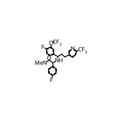 CNC(=O)C(NC(CCc1ccc(C(F)(F)F)nc1)c1ccc(F)c(OC(F)(F)F)c1)c1ccc(F)cc1